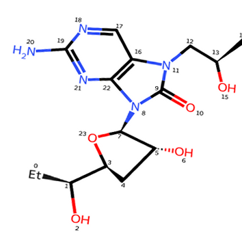 CC[C@H](O)[C@@H]1C[C@@H](O)[C@H](n2c(=O)n(C[C@@H](C)O)c3cnc(N)nc32)O1